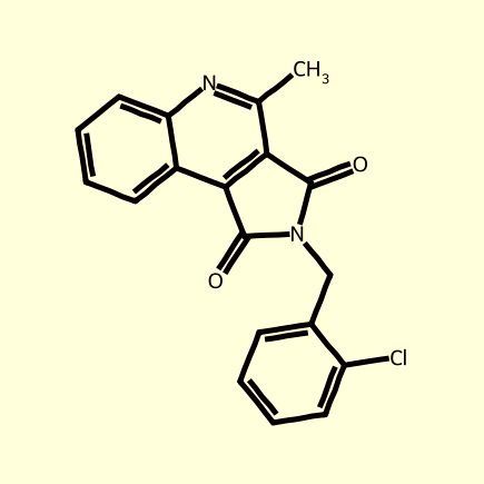 Cc1nc2ccccc2c2c1C(=O)N(Cc1ccccc1Cl)C2=O